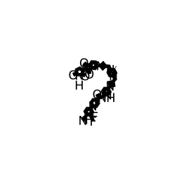 C[C@@H]1CN(CC2CN(c3ccc(NC(=O)C4CCN(c5ccc(C#N)c(C(F)(F)F)c5)CC4)nc3)C2)CCN1CC1CN(c2ccc3c(c2)C(=O)N(C2CCC(=O)NC2=O)C3=O)C1